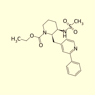 CCOC(=O)N1CCC[C@@H](NS(C)(=O)=O)[C@H]1Cc1ccnc(-c2ccccc2)c1